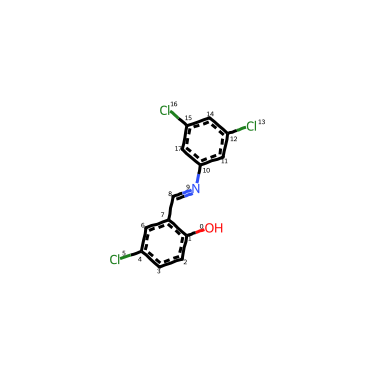 Oc1ccc(Cl)cc1C=Nc1cc(Cl)cc(Cl)c1